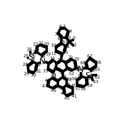 CC1(C)c2ccccc2-c2ccc(-c3c4cc(N5c6ccccc6[Si](C)(C)c6ccccc65)ccc4c(-c4cc5ccccc5c5ccccc45)c4cc(N5c6ccccc6[Si](C)(C)c6ccccc65)ccc34)cc21